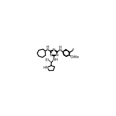 CC[C@@H](Nc1nc(Nc2ccc(OC)c(F)c2)nc(NC2CCCCCC2)n1)C1CCCN1